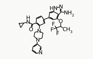 CC(Oc1cc(-c2ccc(C(=O)NC3CC3)c(N3CCN(c4cccnc4)CC3)c2)cc2[nH]nc(N)c12)C(F)(F)F